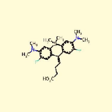 CN(C)c1cc2c(cc1F)C(=CCCC(=O)O)c1cc(F)c(N(C)C)cc1[Si]2(C)C